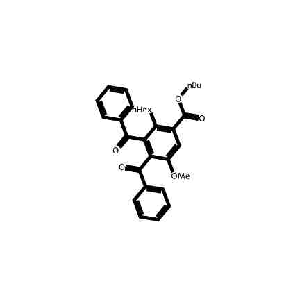 CCCCCCc1c(C(=O)OCCCC)cc(OC)c(C(=O)c2ccccc2)c1C(=O)c1ccccc1